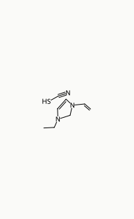 C=CN1C=CN(CC)C1.N#CS